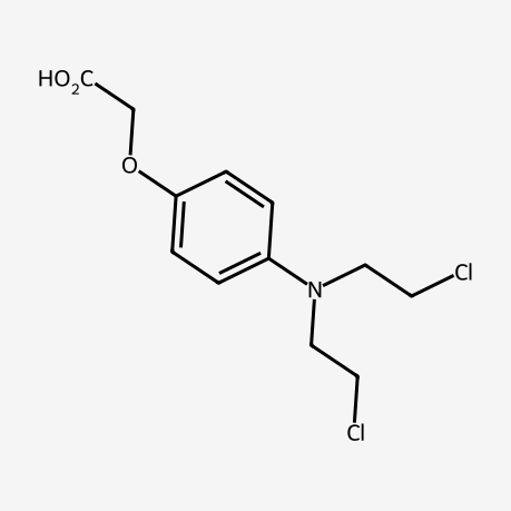 O=C(O)COc1ccc(N(CCCl)CCCl)cc1